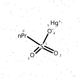 CCCS(=O)(=O)[O-].[Hg+]